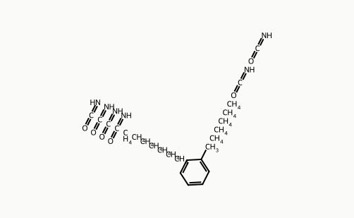 C.C.C.C.C.C.C.C.C.C.C.C.Cc1ccccc1.N=C=O.N=C=O.N=C=O.N=C=O.N=C=O.N=C=O